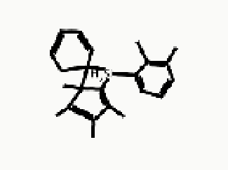 CC1=C(C)C(C)(C2(C)C=CC=CC2)C([SiH2]c2cccc(C)c2C)=C1C